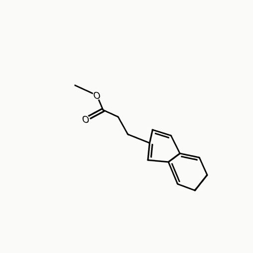 COC(=O)CCc1ccc2c(c1)=CCCC=2